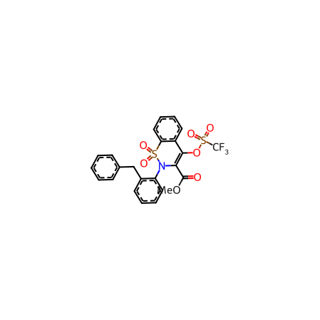 COC(=O)C1=C(OS(=O)(=O)C(F)(F)F)c2ccccc2S(=O)(=O)N1c1ccccc1Cc1ccccc1